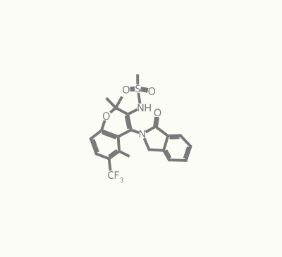 Cc1c(C(F)(F)F)ccc2c1C(N1Cc3ccccc3C1=O)=C(NS(C)(=O)=O)C(C)(C)O2